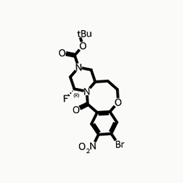 CC(C)(C)OC(=O)N1CC2CCOc3cc(Br)c([N+](=O)[O-])cc3C(=O)N2[C@H](F)C1